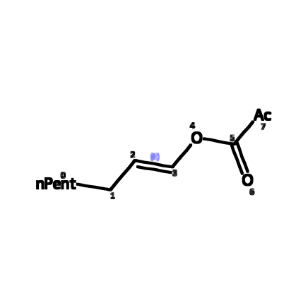 CCCCCC/C=C/OC(=O)C(C)=O